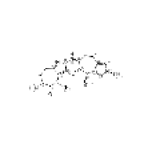 CN1C(=O)[C@H](N)CCc2nn(N[C@H]3CCc4nn(C)cc4N(C)C3=O)cc21